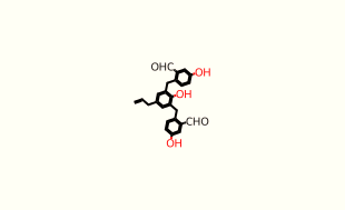 C=CCc1cc(Cc2ccc(O)cc2C=O)c(O)c(Cc2ccc(O)cc2C=O)c1